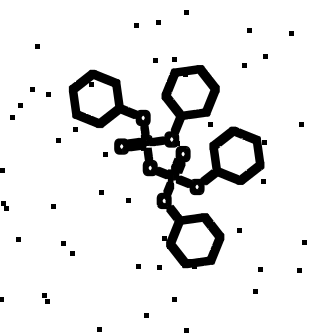 O=P(OC1CCCCC1)(OC1CCCCC1)OP(=O)(OC1CCCCC1)OC1CCCCC1